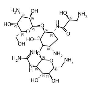 N=C(N)N[C@H]1[C@@H](OC2[C@@H](N)C[C@@H](NC(=O)[C@@H](O)CN)[C@H](O[C@H]3O[C@H](CO)[C@@H](O)[C@H](N)[C@H]3O)[C@H]2O)O[C@H](CN)[C@@H](O)[C@@H]1O